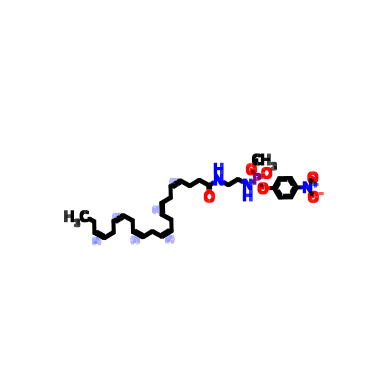 CC/C=C\C/C=C\C/C=C\C/C=C\C/C=C\C/C=C\CCC(=O)NCCNP(=O)(OC)Oc1ccc([N+](=O)[O-])cc1